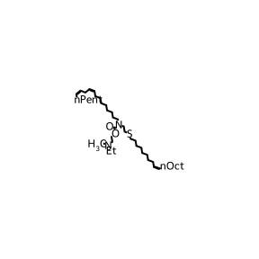 CCCCC/C=C\C/C=C\CCCCCCCCN(CCSCCCCCCCC/C=C\CCCCCCCC)C(=O)OCCN(C)CC